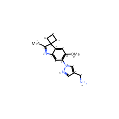 CNC1=Nc2cc(-n3cc(CN)cn3)c(OC)cc2C12CCC2